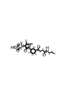 CCCNC(=O)CCC(=O)c1cccc(-n2c(=O)c(N(C)CS(=O)(=O)O)c(C)n2C)c1